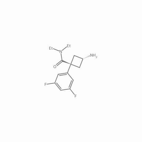 CCN(CC)C(=O)[C@]1(c2cc(F)cc(F)c2)C[C@@H](N)C1